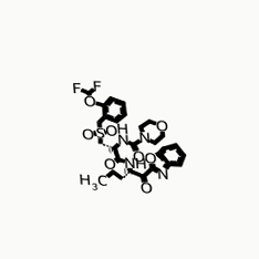 CCC[C@H](NC(=O)[C@H](CS(=O)(=O)Cc1ccccc1OC(F)F)NC(=O)N1CCOCC1)C(=O)c1nc2ccccc2o1